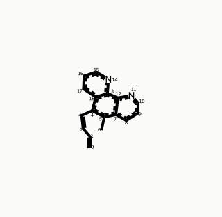 C=C/C=C\c1c(C)c2cccnc2c2ncccc12